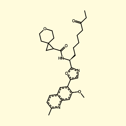 CCC(=O)CCCCC[C@H](NC(=O)C1CC12CCOCC2)c1ncc(-c2cc3ccc(C)nc3cc2OC)o1